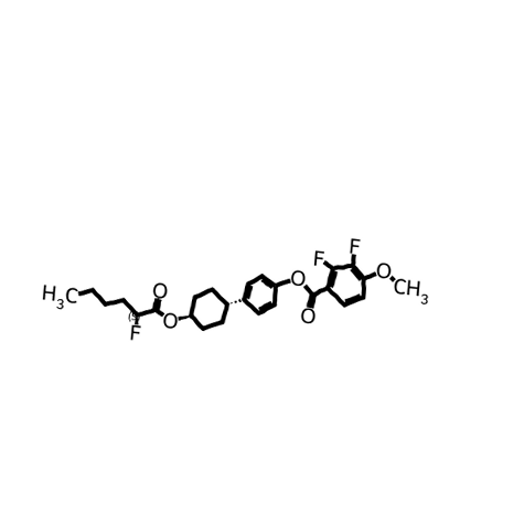 CCCC[C@H](F)C(=O)O[C@H]1CC[C@H](c2ccc(OC(=O)c3ccc(OC)c(F)c3F)cc2)CC1